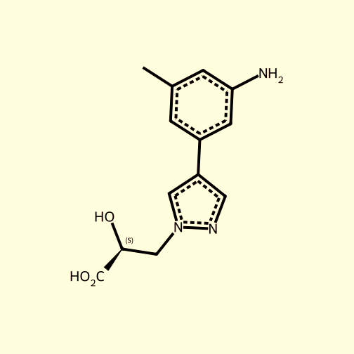 Cc1cc(N)cc(-c2cnn(C[C@H](O)C(=O)O)c2)c1